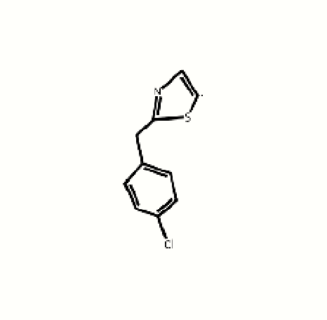 Clc1ccc(Cc2nc[c]s2)cc1